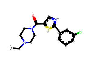 CCN1CCN(C(=O)c2cnc(-c3cccc(Cl)c3)s2)CC1